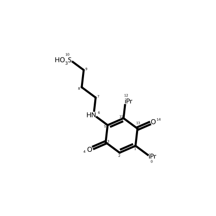 CC(C)C1=CC(=O)C(NCCCS(=O)(=O)O)=C(C(C)C)C1=O